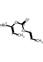 CC=COC(=O)OC(=CC)CCCC